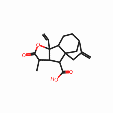 C=CC12OC(=O)C(C)C1C(C(=O)O)C13CC(=C)C(CCC12)C3